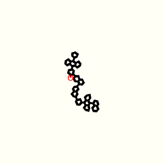 c1ccc(-c2c3ccccc3c(-c3ccc4oc5cc6c(-c7ccc8ccc(-c9cccc(-c%10c%11ccccc%11c(-c%11cccc%12ccccc%11%12)c%11ccccc%10%11)c9)cc8c7)cccc6cc5c4c3)c3ccccc23)cc1